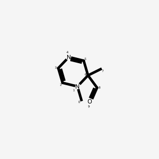 CN1C=CN=CC1(C)C=O